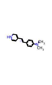 CN(C)c1ccc(/C=C/C2=CCNC=C2)cc1